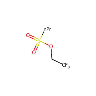 CCCS(=O)(=O)OCC(F)(F)F